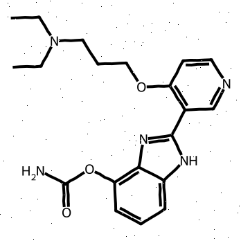 CCN(CC)CCCOc1ccncc1-c1nc2c(OC(N)=O)cccc2[nH]1